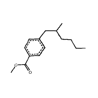 CCCCC(C)Cc1ccc(C(=O)OC)cc1